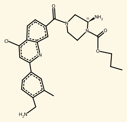 CCCOC(=O)N1CCN(C(=O)c2ccc3c(Cl)cc(-c4ccc(CN)c(C)c4)nc3c2)C[C@H]1N